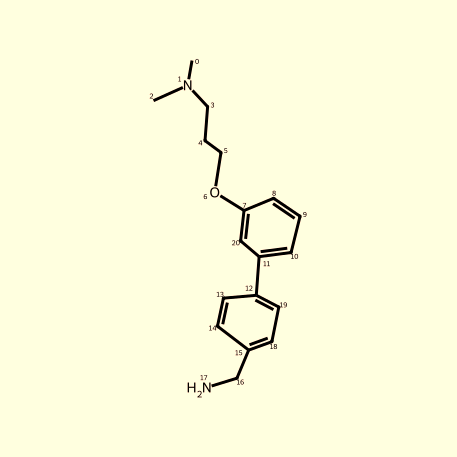 CN(C)CCCOc1cccc(-c2ccc(CN)cc2)c1